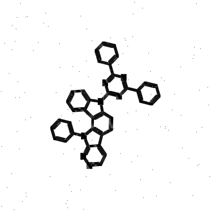 c1ccc(-c2nc(-c3ccccc3)nc(-n3c4ccccc4c4c3ccc3c5ccnnc5n(-c5ccccc5)c34)n2)cc1